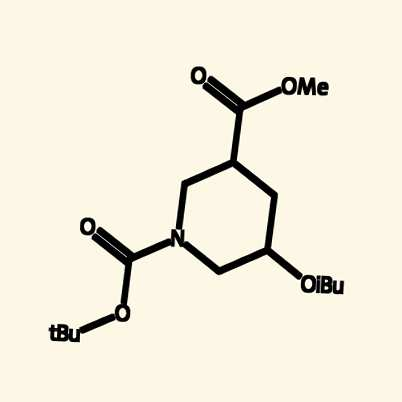 COC(=O)C1CC(OCC(C)C)CN(C(=O)OC(C)(C)C)C1